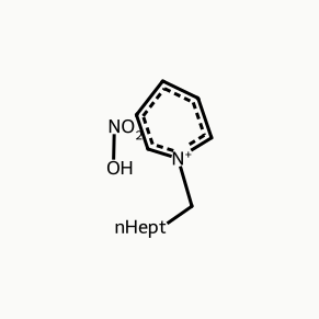 CCCCCCCC[n+]1ccccc1.O=[N+]([O-])O